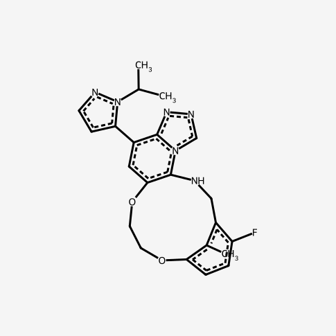 Cc1c2ccc(F)c1CNc1c(cc(-c3ccnn3C(C)C)c3nncn13)OCCO2